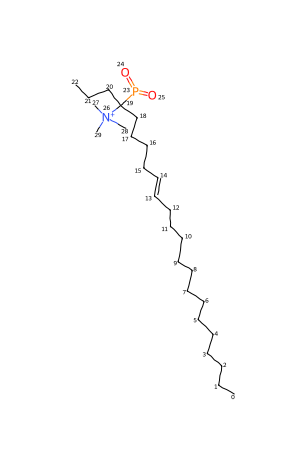 CCCCCCCCCCCCCC=CCCCCC(CCC)(P(=O)=O)[N+](C)(C)C